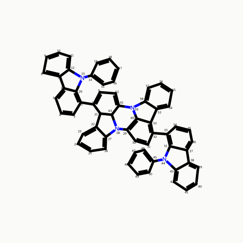 C1=C(c2cccc3c4ccccc4n(-c4ccccc4)c23)C2c3ccccc3N3c4ccc(-c5cccc6c7ccccc7n(-c7ccccc7)c56)c5c6ccccc6n(c45)C(=C1)C23